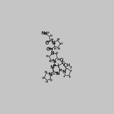 CC(=O)c1c(N2CCCC2)nc(N2CCCC2)nc1N1CCN(C(=O)C2CCCN2C(=O)CC#N)CC1